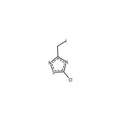 Clc1nc(CI)ns1